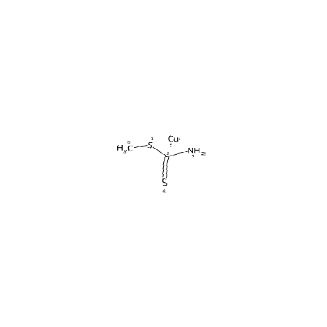 CSC(N)=S.[Cu]